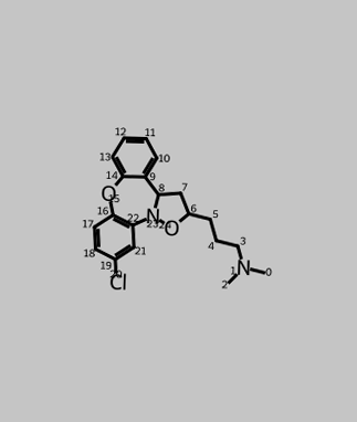 CN(C)CCCC1CC2c3ccccc3Oc3ccc(Cl)cc3N2O1